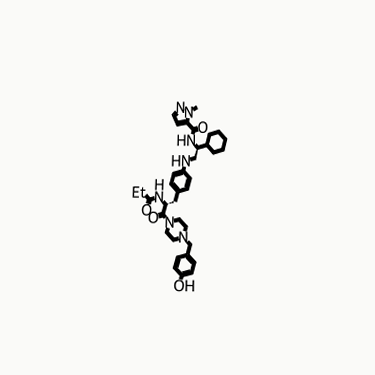 CCC(=O)N[C@H](Cc1ccc(NC[C@@H](NC(=O)c2ccnn2C)C2CCCCC2)cc1)C(=O)N1CCN(Cc2ccc(O)cc2)CC1